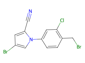 N#Cc1cc(Br)cn1-c1ccc(CBr)c(Cl)c1